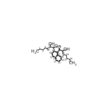 CCCCSC(O)C(=O)c1ccc2ccccc2c1C(=O)C(O)SCCCC